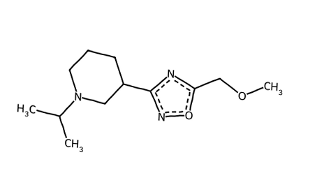 COCc1nc(C2CCCN(C(C)C)C2)no1